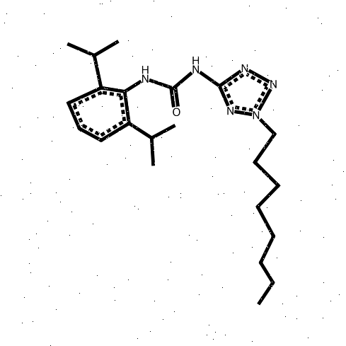 CCCCCCCCn1nnc(NC(=O)Nc2c(C(C)C)cccc2C(C)C)n1